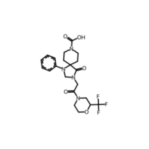 O=C(O)N1CCC2(CC1)C(=O)N(CC(=O)N1CCOC(C(F)(F)F)C1)CN2c1ccccc1